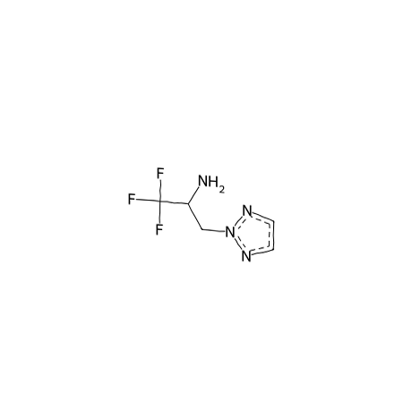 NC(Cn1nccn1)C(F)(F)F